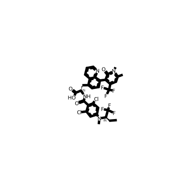 CC[C@@H](N(C)c1cc(Cl)c(C(=O)N[C@@H](Cc2ccc(-c3c(C(F)(F)F)cc(C)n(C)c3=O)c3ncccc23)C(=O)O)c(Cl)c1)C(F)(F)F